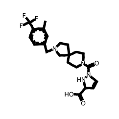 Cc1cc(CN2CCC3(CCN(C(=O)N4C=CC(C(=O)O)N4)CC3)C2)ccc1C(F)(F)F